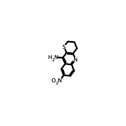 Nc1c2c(nc3ccc([N+](=O)[O-])cc13)CCCS2